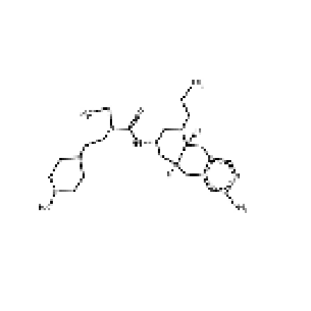 CCCN1C[C@@H](NC(=O)N(CC)CCN2CCN(C)CC2)C[C@@H]2Cc3nc(N)ncc3C[C@H]21